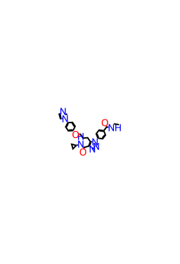 CCNC(=O)c1ccc(-n2nnc(C(=O)NC3CC3)c2CCCOc2ccc(-n3ccnc3)cc2)cc1